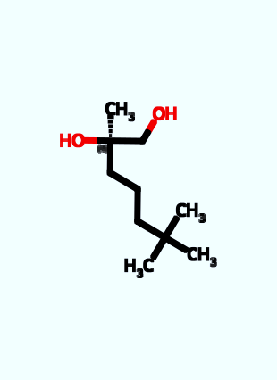 CC(C)(C)CCC[C@@](C)(O)CO